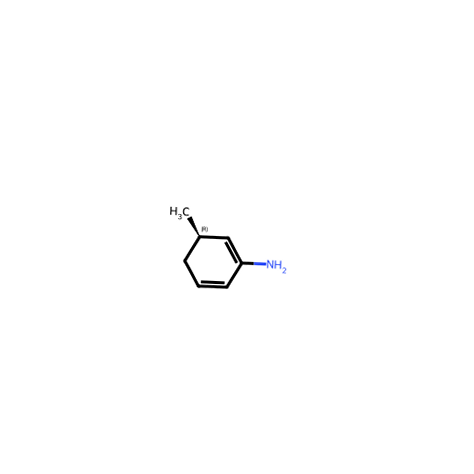 C[C@H]1C=C(N)C=CC1